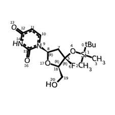 CC(C)(C)[Si](C)(C)O[C@@]1(F)C[C@H](n2ccc(=O)[nH]c2=O)O[C@@H]1CO